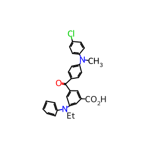 CCN(c1ccccc1)c1cc(C(=O)O)cc(C(=O)c2ccc(N(C)c3ccc(Cl)cc3)cc2)c1